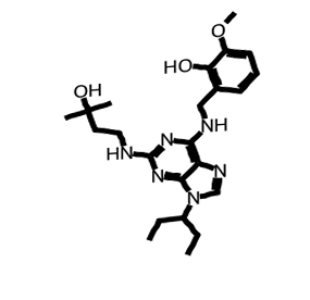 CCC(CC)n1cnc2c(NCc3cccc(OC)c3O)nc(NCCC(C)(C)O)nc21